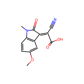 COc1ccc2c(c1)C(=C(C#N)C(=O)O)C(=O)N2C